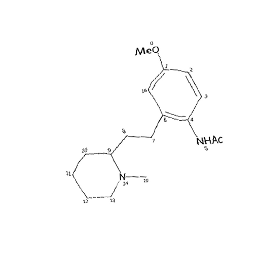 COc1ccc(NC(C)=O)c(CCC2CCCCN2C)c1